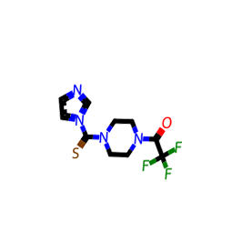 O=C(N1CCN(C(=S)n2ccnc2)CC1)C(F)(F)F